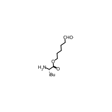 CCC(C)[C@H](N)C(=O)OCCCCC[C]=O